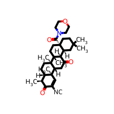 [C-]#[N+]C1=C[C@]2(C)[C@H]3CC(=O)[C@@H]4[C@@H]5CC(C)(C)CC[C@]5(C(=O)N5CCOCC5)CC[C@@]4(C)[C@]3(C)CC[C@H]2[C@H](C)C1=O